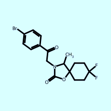 CC1N(CC(=O)c2ccc(Br)cc2)C(=O)OC12CCC(F)(F)CC2